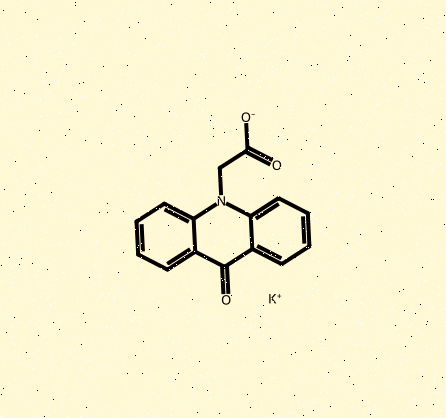 O=C([O-])Cn1c2ccccc2c(=O)c2ccccc21.[K+]